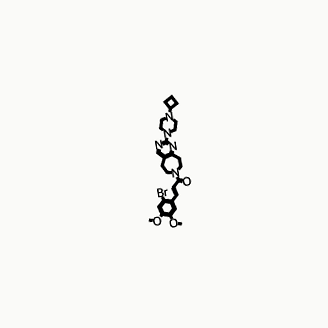 COc1cc(Br)c(C=CC(=O)N2CCc3cnc(N4CCN(C5CCC5)CC4)nc3CC2)cc1OC